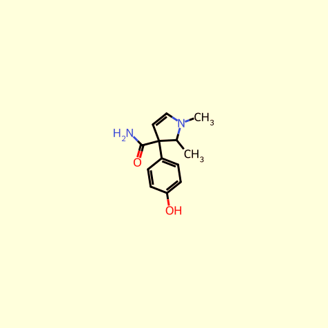 CC1N(C)C=CC1(C(N)=O)c1ccc(O)cc1